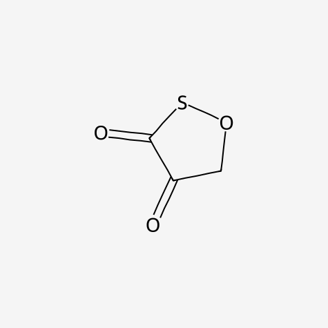 O=C1COSC1=O